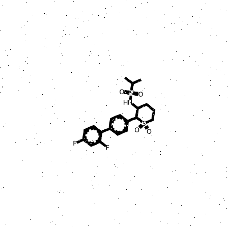 CC(C)S(=O)(=O)NC1CCCS(=O)(=O)C1c1ccc(-c2ccc(F)cc2F)cc1